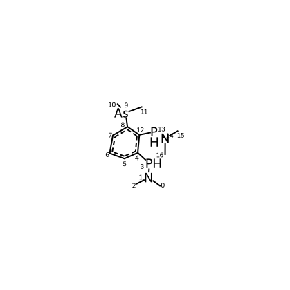 CN(C)Pc1cccc([As](C)C)c1PN(C)C